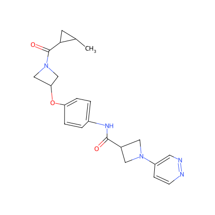 CC1CC1C(=O)N1CC(Oc2ccc(NC(=O)C3CN(c4ccnnc4)C3)cc2)C1